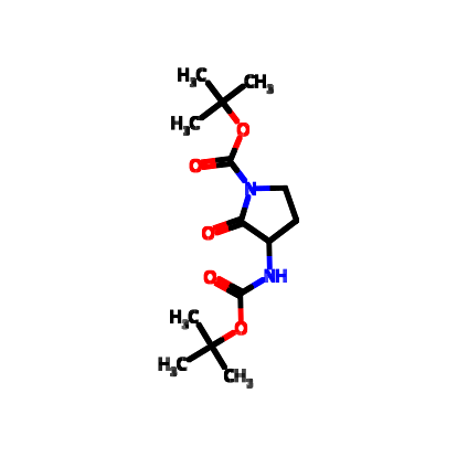 CC(C)(C)OC(=O)NC1CCN(C(=O)OC(C)(C)C)C1=O